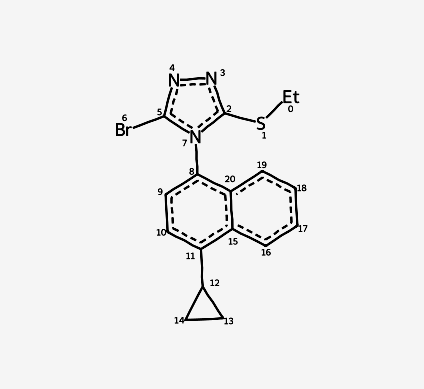 CCSc1nnc(Br)n1-c1ccc(C2CC2)c2ccccc12